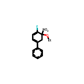 CCOC1([N+](=O)[O-])CC(c2ccccc2)=CC=C1F